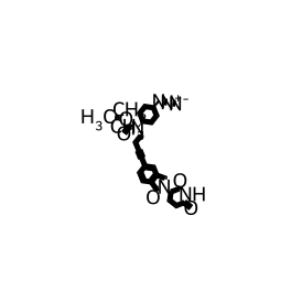 CC(C)(C)OC(=O)N(CCC#Cc1ccc2c(c1)CN(C1CCC(=O)NC1=O)C2=O)[C@H]1CC[C@H](N=[N+]=[N-])CC1